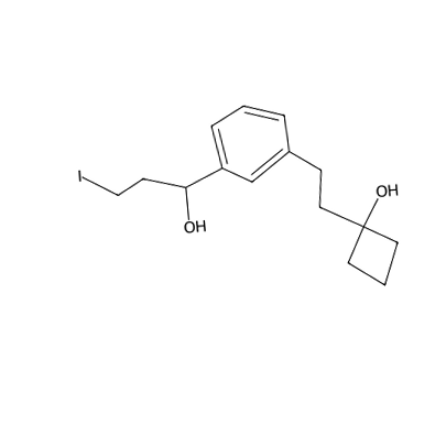 OC(CCI)c1cccc(CCC2(O)CCC2)c1